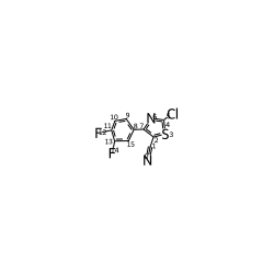 N#Cc1sc(Cl)nc1-c1ccc(F)c(F)c1